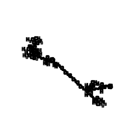 CC(C)(C)OC(=O)CC[C@H](NC(=O)N[C@@H](CCCCNC(=O)Nc1cccc(-c2cn(CCOCCOCCOCCOCCOCCOCCC(=O)N[C@@H](CCCCNC(=O)OC(C)(C)C)C(=O)N[C@@H](CCCCNC(=O)OCc3ccccc3)C(=O)OC(C)(C)C)nn2)c1)C(=O)OC(C)(C)C)C(=O)OC(C)(C)C